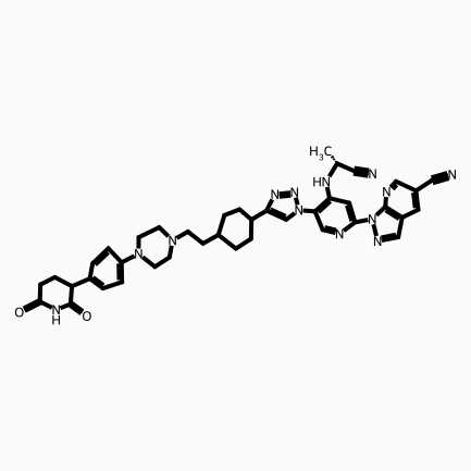 C[C@H](C#N)Nc1cc(-n2ncc3cc(C#N)cnc32)ncc1-n1cc(C2CCC(CCN3CCN(c4ccc(C5CCC(=O)NC5=O)cc4)CC3)CC2)nn1